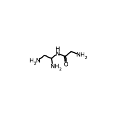 NCC(=O)NC(N)CN